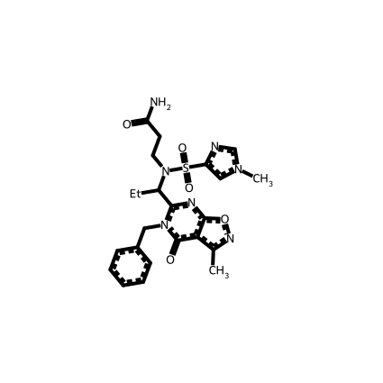 CCC(c1nc2onc(C)c2c(=O)n1Cc1ccccc1)N(CCC(N)=O)S(=O)(=O)c1cn(C)cn1